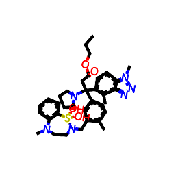 CCCOC(=O)CC(c1ccc(C)c(CN2CCN(C)c3ccccc3S2(O)O)c1)(c1ccc2c(nnn2C)c1C)N1CCCC1